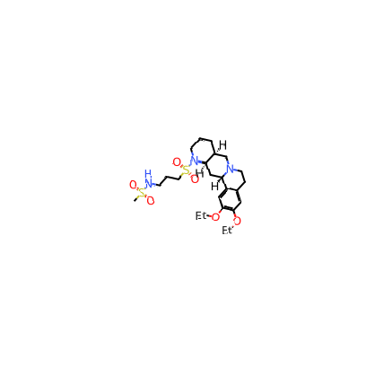 CCOc1cc2c(cc1OCC)[C@@H]1C[C@@H]3[C@@H](CCCN3S(=O)(=O)CCCNS(C)(=O)=O)CN1CC2